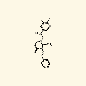 Cc1c(OCc2ccccc2)c(=O)ccn1C[C@H](O)c1ccc(F)c(F)c1